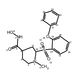 CN1CCC(C(=O)NO)CC1S(=O)(=O)c1ccccc1Oc1ccccc1